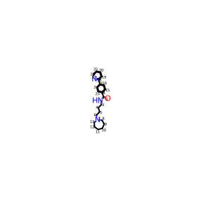 O=C(NCCCCN1CCCCCC1)c1ccc(-c2ccccn2)cc1